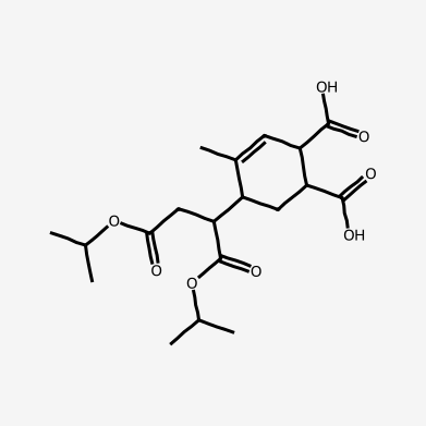 CC1=CC(C(=O)O)C(C(=O)O)CC1C(CC(=O)OC(C)C)C(=O)OC(C)C